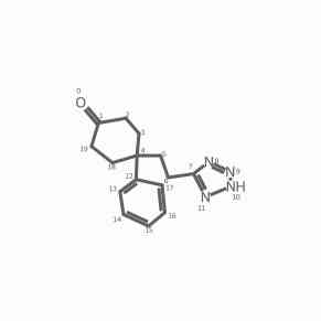 O=C1CCC(CCc2nn[nH]n2)(c2ccccc2)CC1